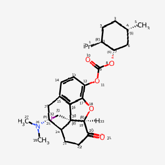 CC(C)[C@H]1CC[C@H](C)C[C@@H]1OC(=O)Oc1ccc2c3c1O[C@H]1C(=O)CCC([C@H](N(C)C)C2)[C@@]31CI